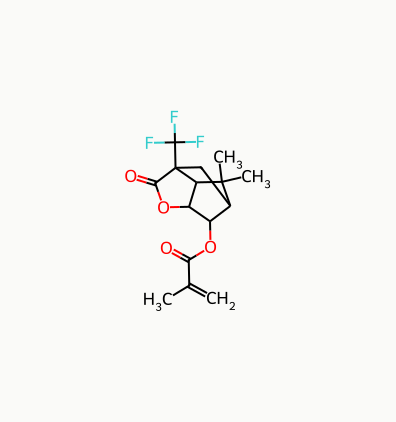 C=C(C)C(=O)OC1C2OC(=O)C3(C(F)(F)F)CC1C(C)(C)C23